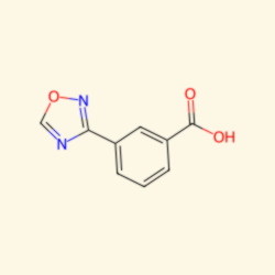 O=C(O)c1cccc(-c2ncon2)c1